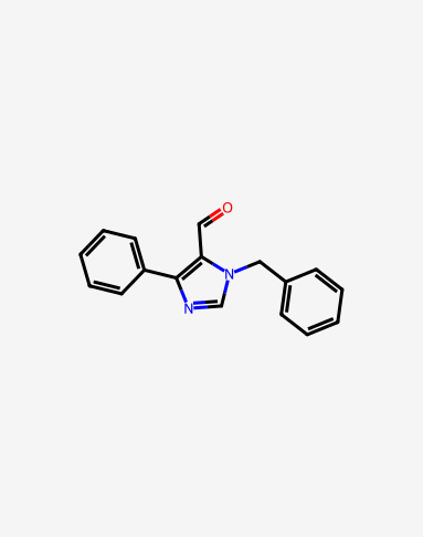 O=Cc1c(-c2ccccc2)ncn1Cc1ccccc1